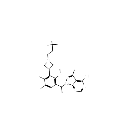 COc1c(C(C)n2nc(C)c3c(N)ncnc32)cc(Cl)c(C)c1C1CN(CCC(F)(F)F)C1